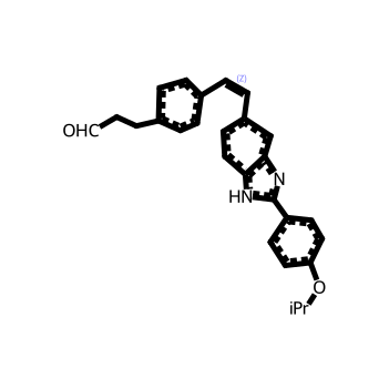 CC(C)Oc1ccc(-c2nc3cc(/C=C\c4ccc(CCC=O)cc4)ccc3[nH]2)cc1